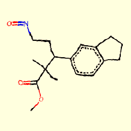 COC(=O)C(C)(C)C(CCN=O)c1ccc2c(c1)CCC2